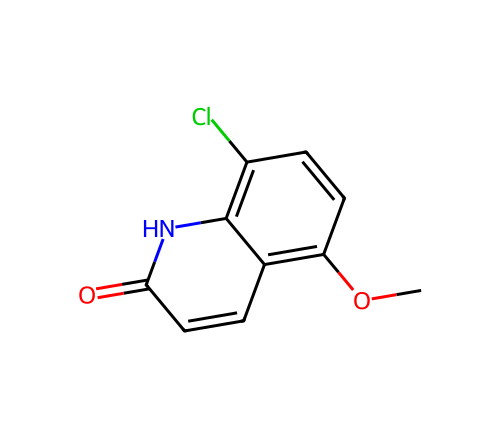 COc1ccc(Cl)c2[nH]c(=O)ccc12